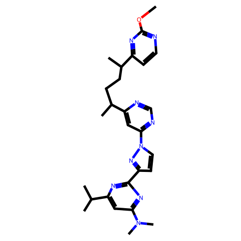 COc1nccc(C(C)CCC(C)c2cc(-n3ccc(-c4nc(C(C)C)cc(N(C)C)n4)n3)ncn2)n1